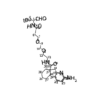 CC(C)(C)C(C=O)NC(=O)CCOCCOCCNC(=O)C1(Cc2cccc(N)n2)CCCCC1